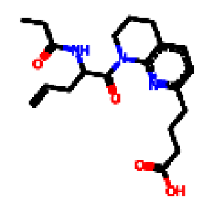 C=CCC(NC(=O)CC)C(=O)N1CCCc2ccc(CCCC(=O)O)nc21